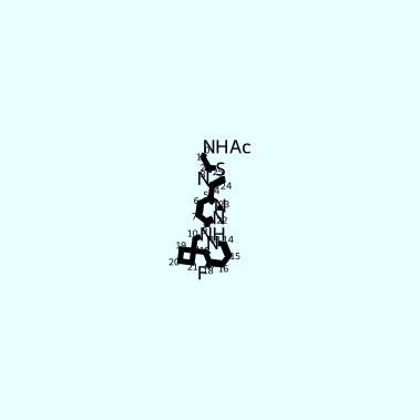 CC(=O)NCc1nc(-c2ccc(NCC3(c4ncccc4F)CCC3)nn2)cs1